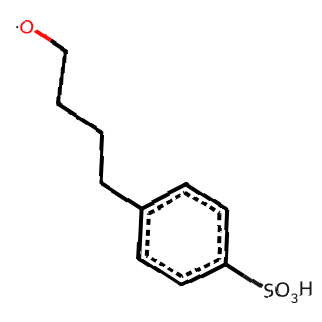 [O]CCCCc1ccc(S(=O)(=O)O)cc1